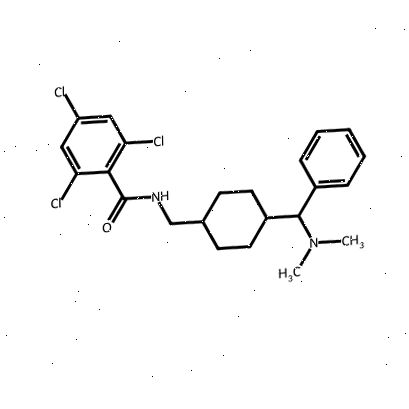 CN(C)C(c1ccccc1)C1CCC(CNC(=O)c2c(Cl)cc(Cl)cc2Cl)CC1